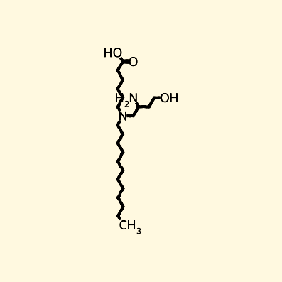 CCCCCCCCCCCCN(CCCCCC(=O)O)CC(N)CCO